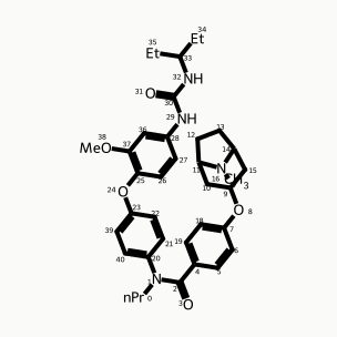 CCCN(C(=O)c1ccc(OC2CC3CCC(C2)N3C)cc1)c1ccc(Oc2ccc(NC(=O)NC(CC)CC)cc2OC)cc1